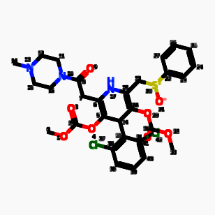 COC(=O)OC1=C(CC(=O)N2CCN(C)CC2)NC(C[S+]([O-])c2ccccc2)=C(OC(=O)OC)C1c1c(Cl)cccc1Cl